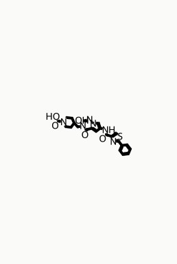 O=C(Nc1cc2c(=O)n(CC3(O)CCN(C(=O)O)CC3)cnn2c1)c1csc(-c2ccccc2)n1